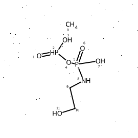 C.O=[PH](O)OP(=O)(O)NCCO